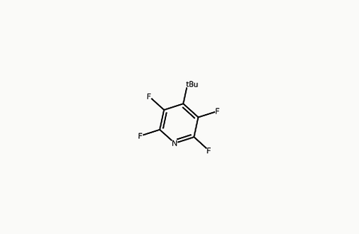 CC(C)(C)c1c(F)c(F)nc(F)c1F